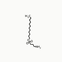 CCCCCCCCCCCCOS(=O)(=O)CCCN